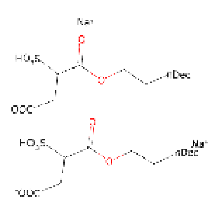 CCCCCCCCCCCCOC(=O)C(CC(=O)[O-])S(=O)(=O)O.CCCCCCCCCCCCOC(=O)C(CC(=O)[O-])S(=O)(=O)O.[Na+].[Na+]